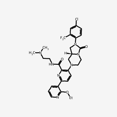 CCOc1ncccc1-c1ccc(N2CCN3C(=O)N(c4ccc(Cl)cc4C(F)(F)F)C[C@H]3C2)c(C(=O)NCCN(C)C)n1